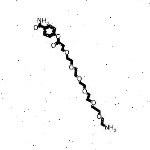 NCCOCCOCCOCCOCCOCCOCCC(=O)Oc1ccc(C(N)=O)cc1